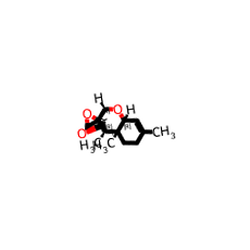 CC1=C[C@H]2O[C@@H]3CC(=O)[C@@](C)(C34CO4)[C@@]2(C)CC1